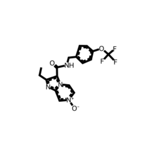 CCc1nc2c[n+]([O-])ccn2c1C(=O)NCc1ccc(OC(F)(F)F)cc1